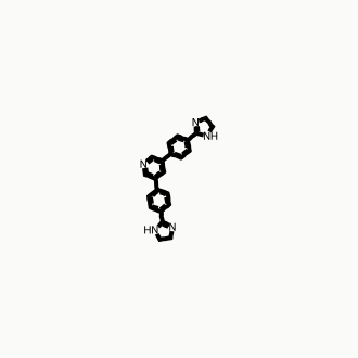 c1cc(-c2cncc(-c3ccc(C4=NCCN4)cc3)c2)ccc1C1=NCCN1